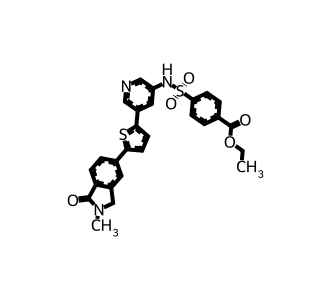 CCOC(=O)c1ccc(S(=O)(=O)Nc2cncc(-c3ccc(-c4ccc5c(c4)CN(C)C5=O)s3)c2)cc1